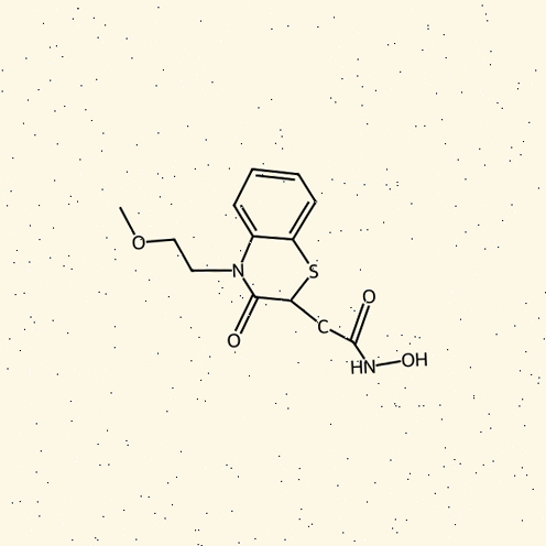 COCCN1C(=O)C(CC(=O)NO)Sc2ccccc21